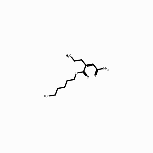 CCCCCCOC(=O)/C(=C\C(N)=O)CCC